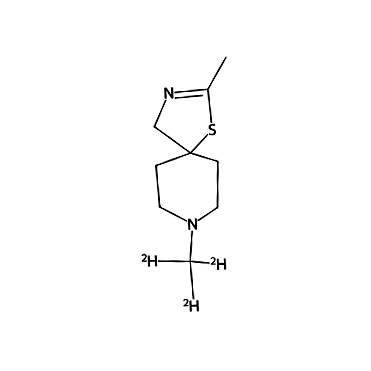 [2H]C([2H])([2H])N1CCC2(CC1)CN=C(C)S2